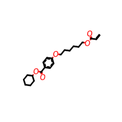 C=CC(=O)OCCCCCCOc1ccc(C(=O)OC2CCCCC2)cc1